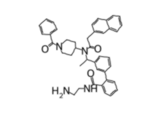 CC(c1cccc(-c2ccccc2C(=O)NCCN)c1)N(C(=O)Cc1ccc2ccccc2c1)C1CCN(C(=O)c2ccccc2)CC1